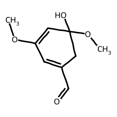 COC1=CC(O)(OC)CC(C=O)=C1